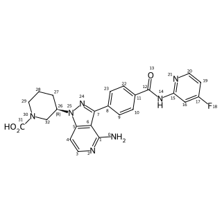 Nc1nccc2c1c(-c1ccc(C(=O)Nc3cc(F)ccn3)cc1)nn2[C@@H]1CCCN(C(=O)O)C1